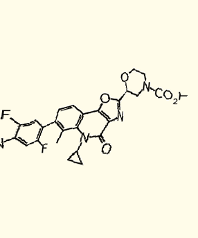 Cc1c(-c2cc(F)c(N)cc2F)ccc2c3oc([C@@H]4CN(C(=O)O)CCO4)nc3c(=O)n(C3CC3)c12